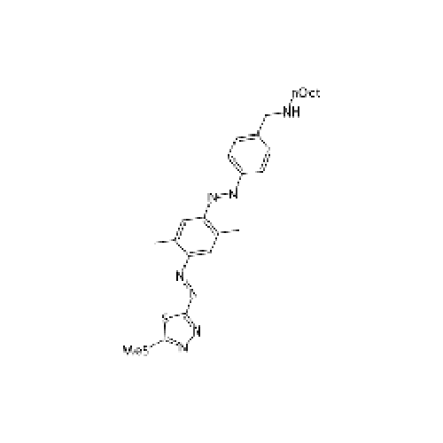 CCCCCCCCNCc1ccc(/N=N/c2cc(C)c(/N=N/c3nnc(SC)s3)cc2C)cc1